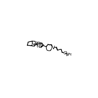 CC(C)OCCCCN1CCC(c2cnc(N3C4CCC3CN(C(C)C)C4)nc2)CC1